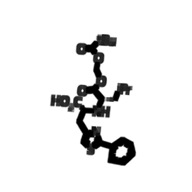 CC(C)C[C@H](N[C@@H](Cc1csc(-c2ccccc2)n1)C(=O)O)C(=O)OCOC(=O)C(C)(C)C